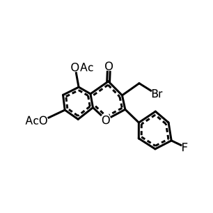 CC(=O)Oc1cc(OC(C)=O)c2c(=O)c(CBr)c(-c3ccc(F)cc3)oc2c1